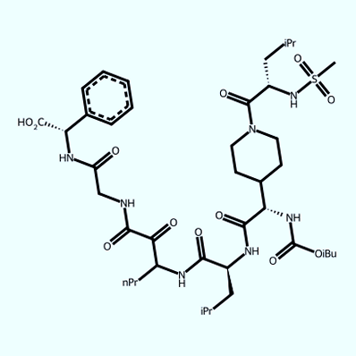 CCCC(NC(=O)[C@H](CC(C)C)NC(=O)[C@@H](NC(=O)OCC(C)C)C1CCN(C(=O)[C@H](CC(C)C)NS(C)(=O)=O)CC1)C(=O)C(=O)NCC(=O)N[C@H](C(=O)O)c1ccccc1